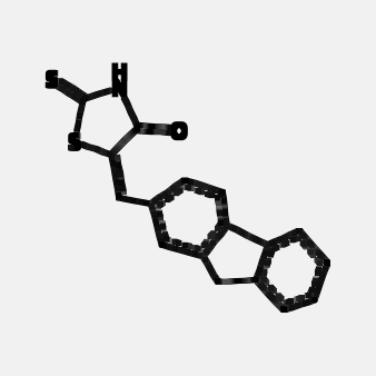 O=C1NC(=S)SC1=Cc1ccc2c(c1)Cc1ccccc1-2